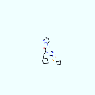 O=C(O)c1ccc(NC(=O)C(CC2CCCC2)n2cnc(S(=O)(=O)C3CCC3)c2)nc1